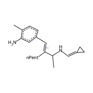 CCCCC/C(=C\c1ccc(C)c(N)c1)C(C)NC=C1CC1